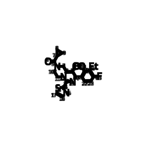 CCOC(=O)C1=C2CN(C(=O)C3CC3)CCN2C(c2nccs2)=N[C@H]1c1ccc(F)cc1Br